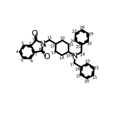 O=C1c2ccccc2C(=O)N1CC1CCC(N(Cc2ccccc2)Cc2ccccc2)CC1